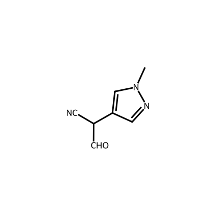 Cn1cc(C(C#N)C=O)cn1